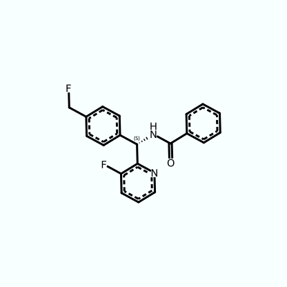 O=C(N[C@@H](c1ccc(CF)cc1)c1ncccc1F)c1ccccc1